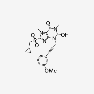 COc1cccc(C#CCN2c3nc(S(=O)(=O)CC4CC4)n(C)c3C(=O)N(C)C2O)c1